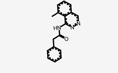 Cc1cccc2cnnc(NC(=O)Cc3ccccc3)c12